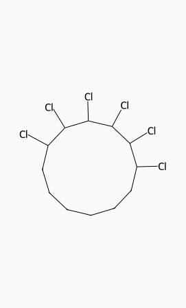 ClC1CCCCCCC(Cl)C(Cl)C(Cl)C(Cl)C1Cl